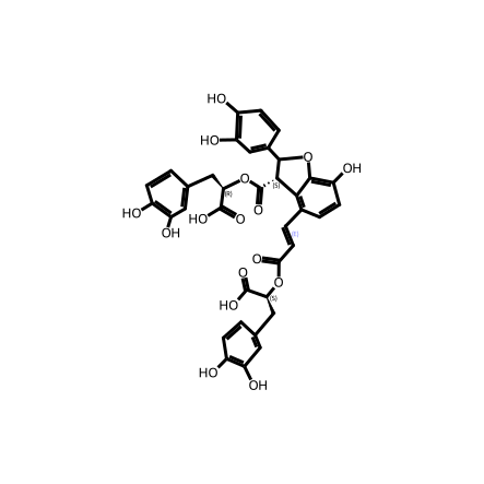 O=C(/C=C/c1ccc(O)c2c1[C@H](C(=O)O[C@H](Cc1ccc(O)c(O)c1)C(=O)O)C(c1ccc(O)c(O)c1)O2)O[C@@H](Cc1ccc(O)c(O)c1)C(=O)O